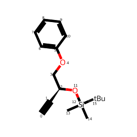 C#C[C@@H](COc1ccccc1)O[Si](C)(C)C(C)(C)C